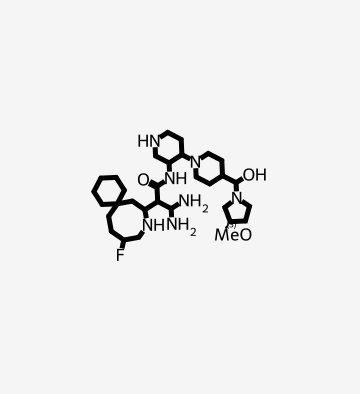 CO[C@H]1CCN(C(O)C2CCN(C3CCNCC3NC(=O)C(C(N)N)C3CC4(CCCCC4)CCC(F)CN3)CC2)C1